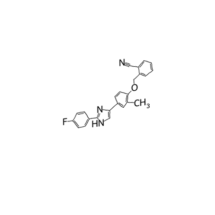 Cc1cc(-c2c[nH]c(-c3ccc(F)cc3)n2)ccc1OCc1ccccc1C#N